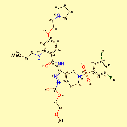 CCOCCOC(=O)n1nc(NC(=O)c2ccc(OCCN3CCCC3)cc2NCCOC)c2c1CCN(S(=O)(=O)c1cc(F)cc(F)c1)C2